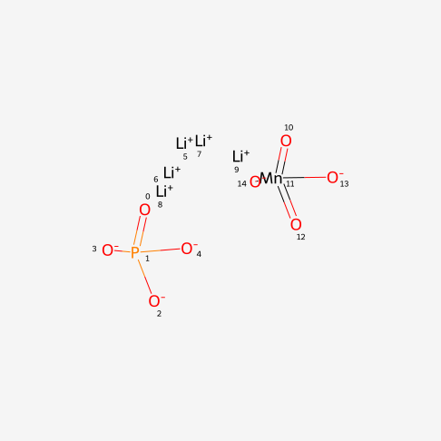 O=P([O-])([O-])[O-].[Li+].[Li+].[Li+].[Li+].[Li+].[O]=[Mn](=[O])([O-])[O-]